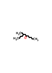 CCCCCC(=O)CC(CC)CCCC